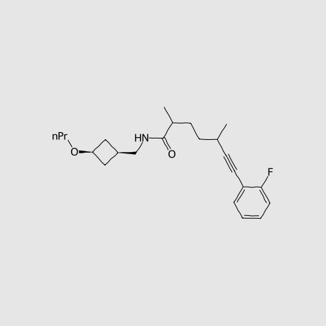 CCCO[C@H]1C[C@@H](CNC(=O)C(C)CCC(C)C#Cc2ccccc2F)C1